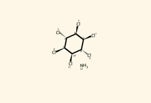 Cl[C@H]1[C@H](Cl)[C@@H](Cl)[C@@H](Cl)[C@H](Cl)[C@H]1Cl.N